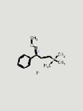 CO/N=C(/CC[N+](C)(C)C)c1ccccc1.[I-]